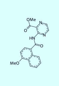 COC(=O)c1nccnc1NC(=O)c1ccc(OC)c2ccccc12